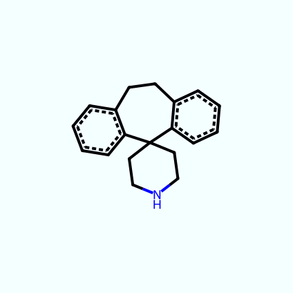 c1ccc2c(c1)CCc1ccccc1C21CCNCC1